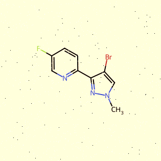 Cn1cc(Br)c(-c2ccc(F)cn2)n1